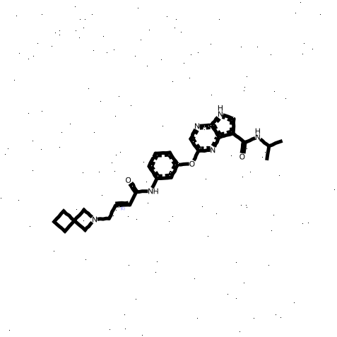 CC(C)NC(=O)c1c[nH]c2ncc(Oc3cccc(NC(=O)/C=C/CN4CC5(CCC5)C4)c3)nc12